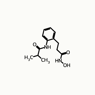 CC(C)C(=O)Nc1ccccc1CCC(=O)NO